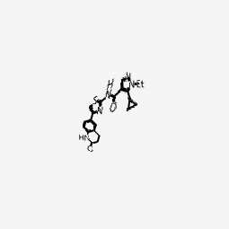 CCn1ncc(C(=O)Nc2nc(-c3ccc4c(c3)CCC(=O)N4)cs2)c1C1CC1